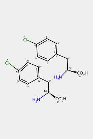 N[C@@H](Cc1ccc(Cl)cc1)C(=O)O.N[C@@H](Cc1ccc(Cl)cc1)C(=O)O